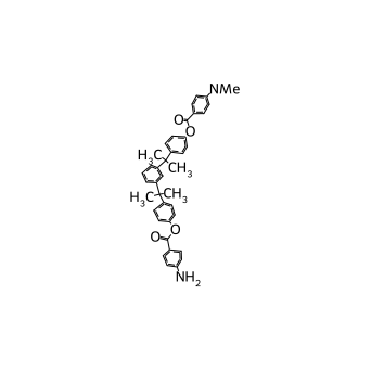 CNc1ccc(C(=O)Oc2ccc(C(C)(C)c3cccc(C(C)(C)c4ccc(OC(=O)c5ccc(N)cc5)cc4)c3)cc2)cc1